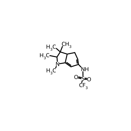 CC1N(C)C2=CC(NS(=O)(=O)C(F)(F)F)=CCC2C1(C)C